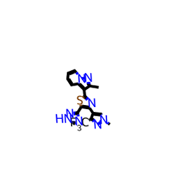 Cc1nn2ccccc2c1-c1nc(-c2cn(C)nc2C(F)(F)F)c(-c2nc[nH]n2)s1